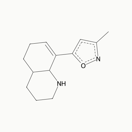 Cc1cc(C2=CCCC3CCCNC23)on1